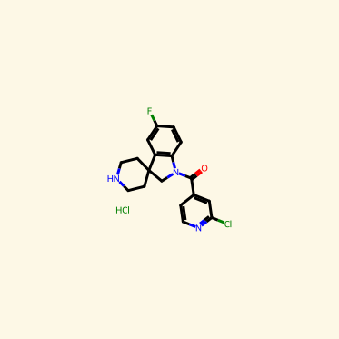 Cl.O=C(c1ccnc(Cl)c1)N1CC2(CCNCC2)c2cc(F)ccc21